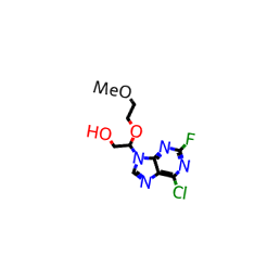 COCCOC(CO)n1cnc2c(Cl)nc(F)nc21